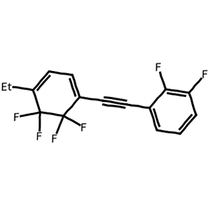 CCC1=CC=C(C#Cc2cccc(F)c2F)C(F)(F)C1(F)F